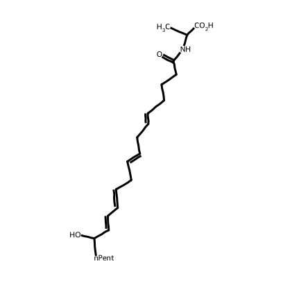 CCCCCC(O)C=CC=CCC=CCC=CCCCC(=O)NC(C)C(=O)O